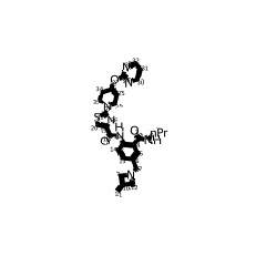 CCCNC(=O)c1cc(CN2CC(C)C2)ccc1NC(=O)c1csc(N2CCC(Oc3ncccn3)CC2)n1